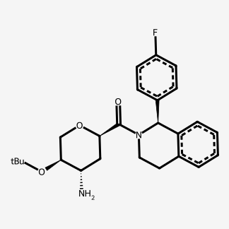 CC(C)(C)O[C@H]1CO[C@@H](C(=O)N2CCc3ccccc3[C@@H]2c2ccc(F)cc2)C[C@@H]1N